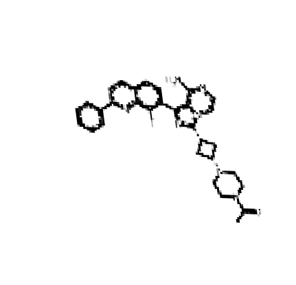 CC(=O)N1CCN([C@H]2C[C@@H](c3nc(-c4ccc5ccc(-c6ccccc6)nc5c4F)c4c(N)nccn43)C2)CC1